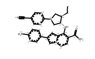 CC[C@@H]1CN(c2ncc(C#N)cn2)C[C@H]1Nc1c(C(N)=O)cnn2cc(-c3ccc(N)nc3)cc12